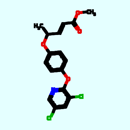 COC(=O)/C=C/C(C)Oc1ccc(Oc2ncc(Cl)cc2Cl)cc1